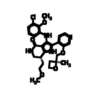 COCC[C@@H]1CNC(=O)c2c1[nH]c(-c1ccncc1OC[C@]1(C)CCO1)c2Nc1cccc(Cl)c1OC